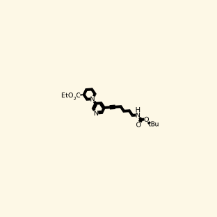 CCOC(=O)[C@H]1CCCN(c2cncc(C#CCCCCNC(=O)OC(C)(C)C)c2)C1